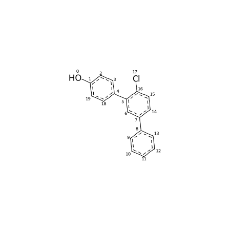 Oc1ccc(-c2cc(-c3ccccc3)ccc2Cl)cc1